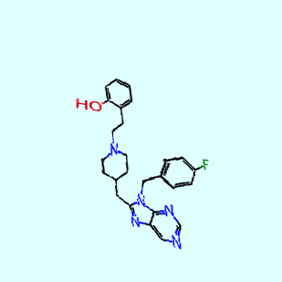 Oc1ccccc1CCN1CCC(Cc2nc3cncnc3n2Cc2ccc(F)cc2)CC1